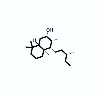 CC[C@@H](C)CC[C@H]1[C@@H](C)[C@@H](O)C[C@H]2C(C)(C)CCC[C@]12C